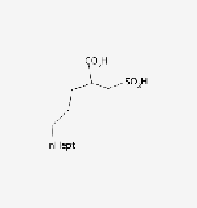 CCCCCCCCCCC(CS(=O)(=O)O)C(=O)O